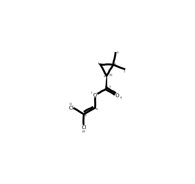 CC1(C)C[C@@H]1C(=O)OC=C(Cl)Cl